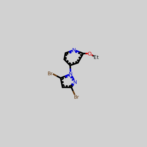 CCOc1cc(-n2nc(Br)cc2Br)ccn1